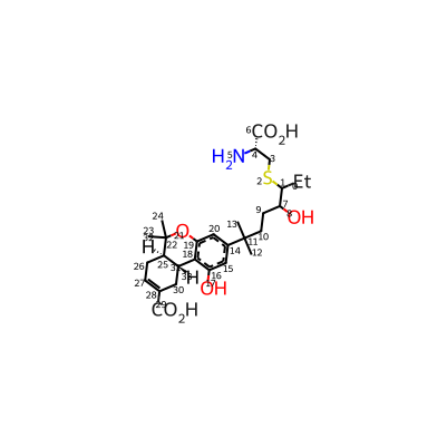 CCC(SC[C@H](N)C(=O)O)C(O)CCC(C)(C)c1cc(O)c2c(c1)OC(C)(C)[C@@H]1CC=C(C(=O)O)C[C@@H]21